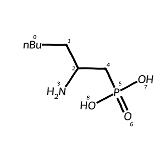 CCCCCC(N)CP(=O)(O)O